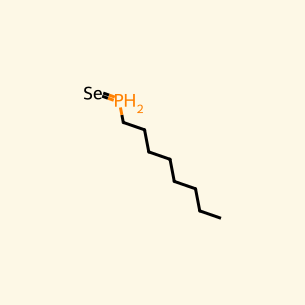 CCCCCCCC[PH2]=[Se]